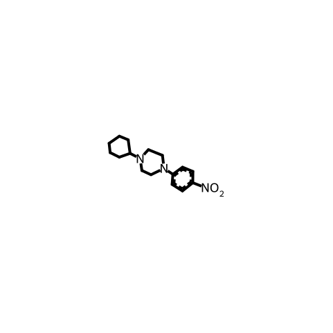 O=[N+]([O-])c1ccc(N2CCN(C3CCCCC3)CC2)cc1